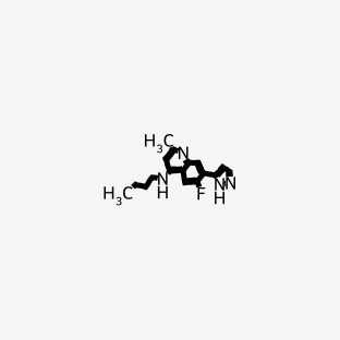 CCCCNc1cc(C)nc2cc(-c3ccn[nH]3)c(F)cc12